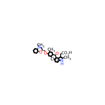 Cc1cc(C(=O)c2cccc3[nH]c(C)c(CC(=O)O)c23)c(C)cc1OC[C@@H]1CN(C)c2ccccc2O1